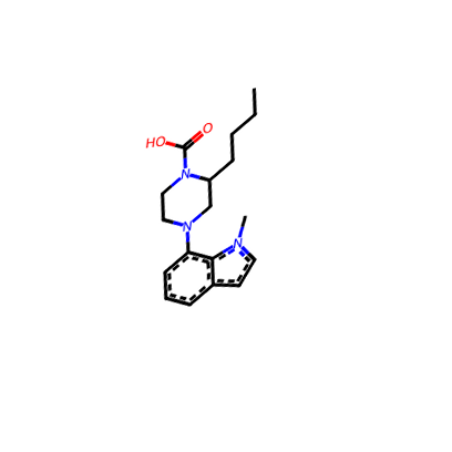 CCCCC1CN(c2cccc3ccn(C)c23)CCN1C(=O)O